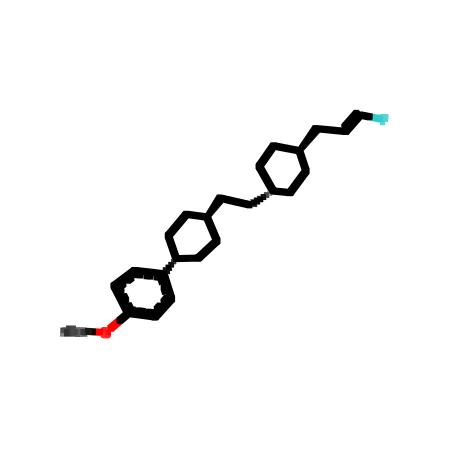 CCCCCCOc1ccc([C@H]2CC[C@H](CC[C@H]3CC[C@H](C/C=C/F)CC3)CC2)cc1